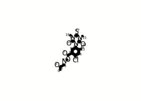 CC(=O)C=NOC(=O)c1cc(-n2c(=O)n(C)c(=S)n(C)c2=O)c(F)cc1Cl